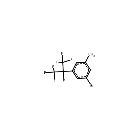 Cc1[c]c(Br)cc(C(F)(C(F)(F)F)C(F)(F)F)c1